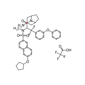 CN(C(C(=O)N1C2CCC1CC(N)C2)C(F)(F)c1cccc(Oc2ccccc2)c1)S(=O)(=O)c1ccc2cc(OC3CCCC3)ccc2c1.O=C(O)C(F)(F)F